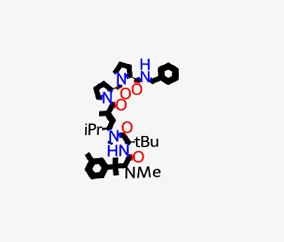 CN[C@H](C(=O)N[C@H](C(=O)N(C)[C@H](/C=C(\C)C(=O)N1CCC[C@@H]1C(=O)N1CCC[C@@H]1C(=O)NCc1ccccc1)C(C)C)C(C)(C)C)C(C)(C)c1cccc(C)c1